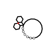 C1CCCCCOOOOOOC(C2CCCCC2)(C2CCCCC2)CCCCC1